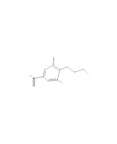 O=C(O)c1cc(F)c(CCCO)c(F)c1